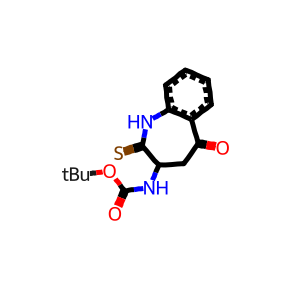 CC(C)(C)OC(=O)NC1CC(=O)c2ccccc2NC1=S